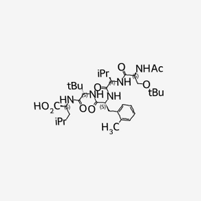 CC(=O)N[C@@H](COC(C)(C)C)C(=O)N[C@@H](C(=O)N[C@@H](Cc1ccccc1C)C(=O)N[C@H](C(=O)N[C@@H](CC(C)C)C(=O)O)C(C)(C)C)C(C)C